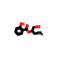 CCC(CO)OC(=O)c1ccccc1O